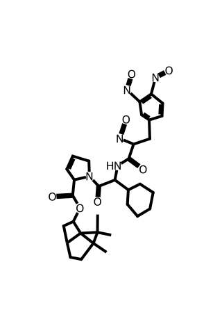 CC1(C)C2(C)CCC3CC(OC(=O)C4C=CCN4C(=O)C(NC(=O)C(Cc4ccc(N=O)c(N=O)c4)N=O)C4CCCCC4)C312